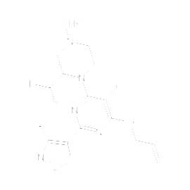 C=CCOc1nc(-c2scnc2Cl)nc(N2CCN(C=O)CC2C(F)F)c1Cl